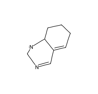 C1=NC[N]C2CCCC=C12